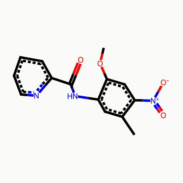 COc1cc([N+](=O)[O-])c(C)cc1NC(=O)c1ccccn1